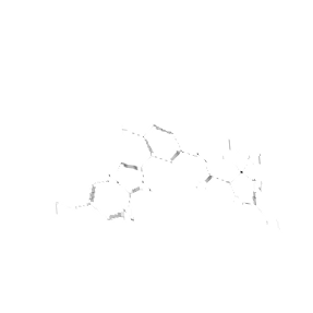 CC1=NC(C)(C)C(C(=O)Nc2ccc(F)c(-c3cn4cc(C(C)C)cnc4n3)c2)O1